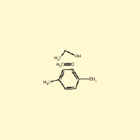 C=O.CCO.Cc1ccc(C)cc1